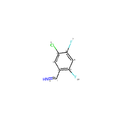 N=Cc1cc(Cl)c(F)cc1F